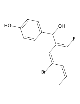 C\C=C/C(Br)=C\C(=C\F)C(O)c1ccc(O)cc1